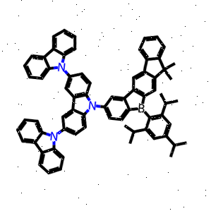 CC(C)c1cc(C(C)C)c(B2c3ccc(-n4c5ccc(-n6c7ccccc7c7ccccc76)cc5c5cc(-n6c7ccccc7c7ccccc76)ccc54)cc3-c3cc4c(cc32)C(C)(C)c2ccccc2-4)c(C(C)C)c1